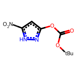 CC(C)(C)OC(=O)Oc1cc([N+](=O)[O-])[nH]n1